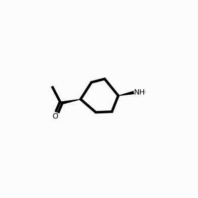 CC(=O)[C@H]1CC[C@@H]([NH])CC1